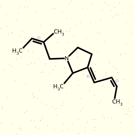 C/C=C\C=C1/CCN(C/C(C)=C\C)C1C